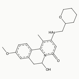 COc1ccc2c(c1)CC(O)n1c-2c(C)c([AsH]CC2CCCCO2)cc1=O